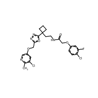 Cc1ncc(OCc2nnc(C3(CCNC(=O)COc4ccc(Cl)c(F)c4)CCC3)o2)cc1Cl